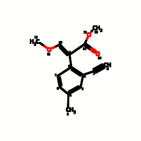 C#Cc1cc(C)ccc1/C(=C\OC)C(=O)OC